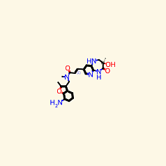 Cc1oc2c(N)cccc2c1CN(C)C(=O)/C=C/c1cnc2c(c1)NC[C@@](C)(O)C(=O)N2